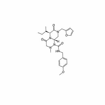 CCC(C)[C@H]1C(=O)N(Cc2ccco2)C[C@H]2N1C(=O)CN(C)N2C(=O)NCc1ccc(OC)cc1